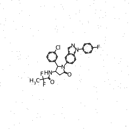 CC(F)(F)C(=O)NC1CC(=O)N(c2ccc3c(cnn3-c3ccc(F)cc3)c2)C1c1cccc(Cl)c1